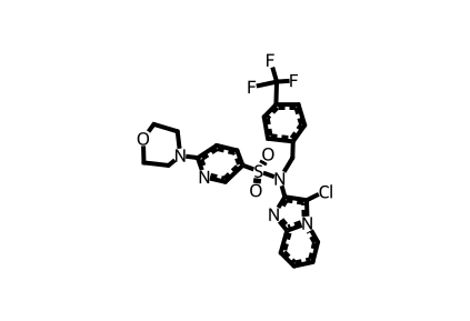 O=S(=O)(c1ccc(N2CCOCC2)nc1)N(Cc1ccc(C(F)(F)F)cc1)c1nc2ccccn2c1Cl